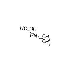 CC(C)CCNCCC(O)CO